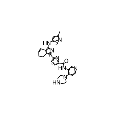 Cc1cc(Nc2nn(-c3nc(C(=O)Nc4cnccc4N4CCNCC4)cs3)c3c2C=CCC3)sn1